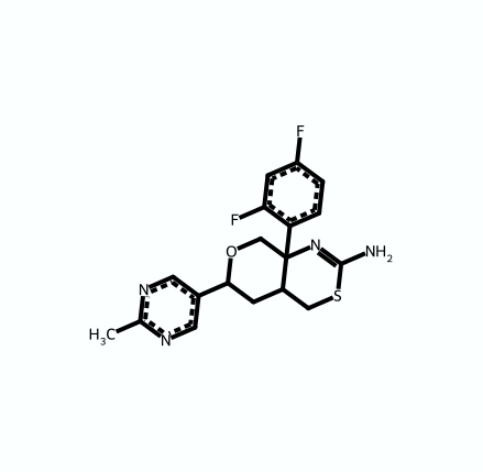 Cc1ncc(C2CC3CSC(N)=NC3(c3ccc(F)cc3F)CO2)cn1